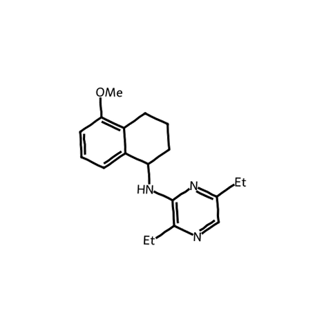 CCc1cnc(CC)c(NC2CCCc3c(OC)cccc32)n1